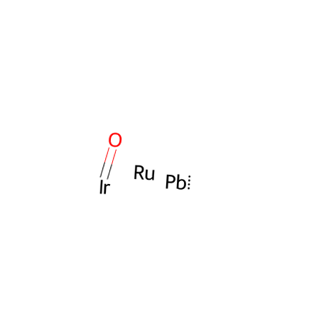 [O]=[Ir].[Pb].[Ru]